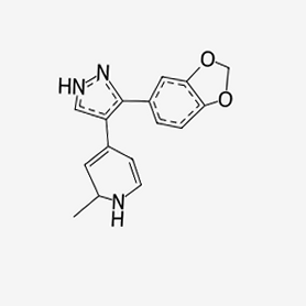 CC1C=C(c2c[nH]nc2-c2ccc3c(c2)OCO3)C=CN1